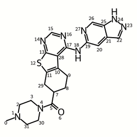 CN1CCN(C(=O)C2CCc3c(sc4ncnc(Nc5cc6cn[nH]c6cn5)c34)C2)CC1